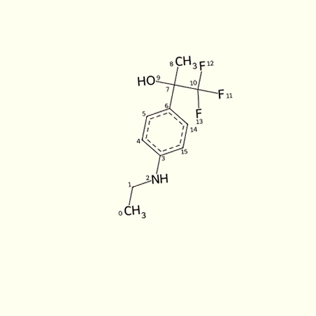 CCNc1ccc(C(C)(O)C(F)(F)F)cc1